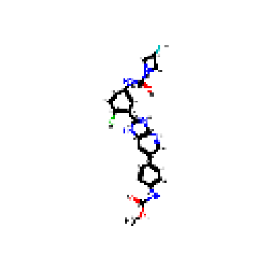 COC(=O)Nc1ccc(-c2cnc3nc(-c4cc(NC(=O)N5CC(F)C5)ccc4Cl)[nH]c3c2)cc1